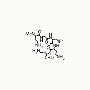 CNC(CCN)C(=O)NCC(=O)NC(CC(C)C)C(=O)NC(CCN)C(=O)NC(C=O)CCN